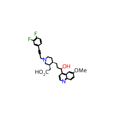 COc1ccc2nccc([C@H](O)CC[C@@H]3CCN(CC#Cc4ccc(F)c(F)c4)C[C@@H]3CC(=O)O)c2c1